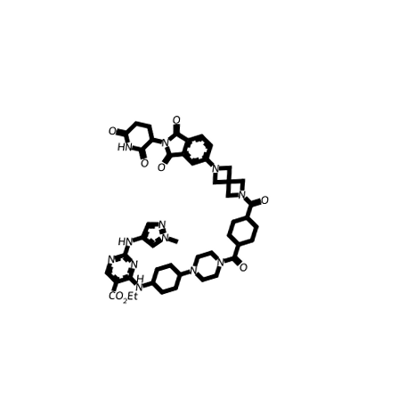 CCOC(=O)c1cnc(Nc2cnn(C)c2)nc1NC1CCC(N2CCN(C(=O)C3CCC(C(=O)N4CC5(C4)CN(c4ccc6c(c4)C(=O)N(C4CCC(=O)NC4=O)C6=O)C5)CC3)CC2)CC1